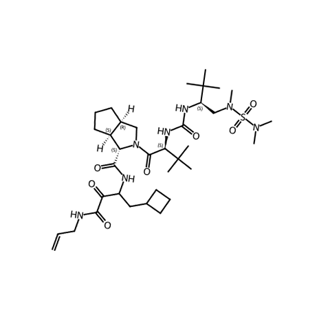 C=CCNC(=O)C(=O)C(CC1CCC1)NC(=O)[C@@H]1[C@H]2CCC[C@H]2CN1C(=O)[C@@H](NC(=O)N[C@H](CN(C)S(=O)(=O)N(C)C)C(C)(C)C)C(C)(C)C